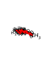 [2H]c1c(Cc2c([2H])c(C([2H])([2H])[2H])c(N3C(=O)c4ccc(C(=O)c5ccc6c(c5)C(=O)N(C)C6=O)cc4C3=O)c(C([2H])([2H])[2H])c2[2H])c([2H])c(C([2H])([2H])[2H])c(C)c1C([2H])([2H])[2H]